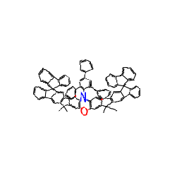 CC1(C)c2cc3c(cc2-c2cc4c(cc21)-c1ccccc1C41c2ccccc2-c2ccccc21)N(c1c(-c2ccccc2)cc(-c2ccccc2)cc1-c1ccccc1)c1cc2c(cc1O3)C(C)(C)c1cc3c(cc1-2)C1(c2ccccc2-c2ccccc21)c1ccccc1-3